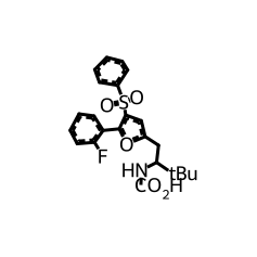 CC(C)(C)C(Cc1cc(S(=O)(=O)c2ccccc2)c(-c2ccccc2F)o1)NC(=O)O